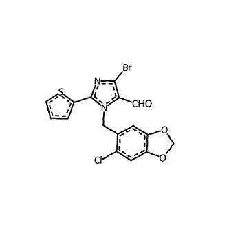 O=Cc1c(Br)nc(-c2cccs2)n1Cc1cc2c(cc1Cl)OCO2